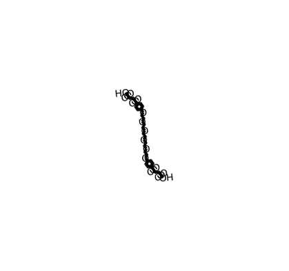 O=S(=O)(O)CCS(=O)(=O)c1ccc(OCCOCCOCCOCCOCCOc2ccc(S(=O)(=O)CCS(=O)(=O)O)cc2)cc1